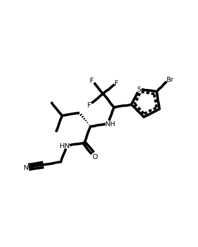 CC(C)C[C@H](NC(c1ccc(Br)s1)C(F)(F)F)C(=O)NCC#N